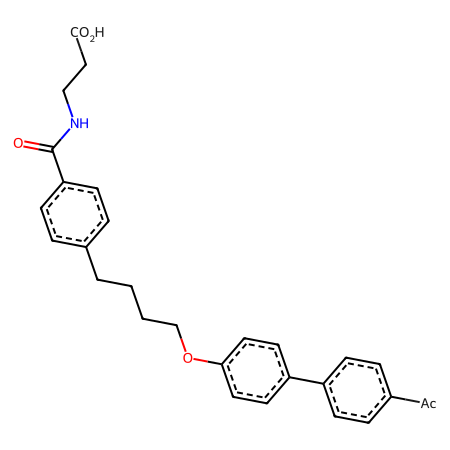 CC(=O)c1ccc(-c2ccc(OCCCCc3ccc(C(=O)NCCC(=O)O)cc3)cc2)cc1